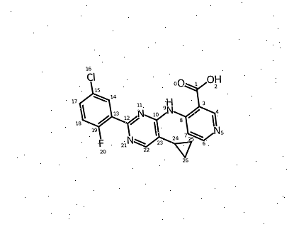 O=C(O)c1cnccc1Nc1nc(-c2cc(Cl)ccc2F)ncc1C1CC1